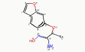 CCC(Oc1ccc2ccoc2c1)C(N)=NO